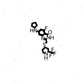 O=c1[nH]c(CSC2CCNC(C(F)(F)F)C2)nc2cc(NC3CCCC3)cc(F)c12